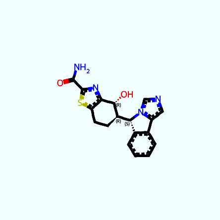 NC(=O)c1nc2c(s1)CC[C@H]([C@H]1c3ccccc3-c3cncn31)[C@H]2O